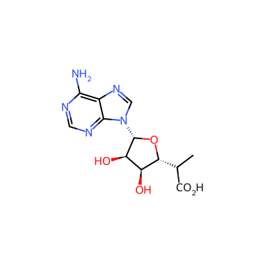 CC(C(=O)O)[C@H]1O[C@@H](n2cnc3c(N)ncnc32)[C@H](O)[C@@H]1O